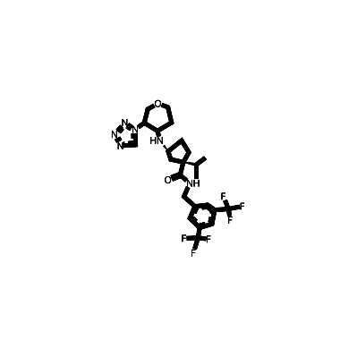 CC(C)[C@]1(C(=O)NCc2cc(C(F)(F)F)cc(C(F)(F)F)c2)CC[C@@H](NC2CCOCC2n2cnnn2)C1